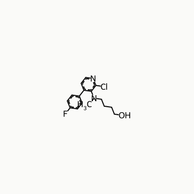 CN(CCCCO)c1c(-c2ccc(F)cc2)ccnc1Cl